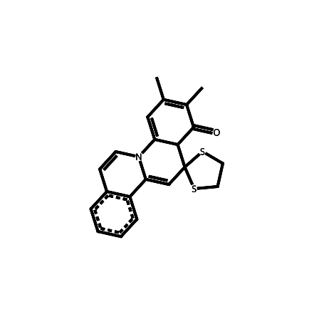 CC1=C(C)C(=O)C2C(=C1)N1C=Cc3ccccc3C1=CC21SCCS1